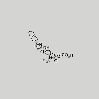 Cn1c(=O)c(OCC(=O)O)cc2cc(Nc3nc(N4CCC5(CCCCC5)CC4)ncc3Cl)ccc21